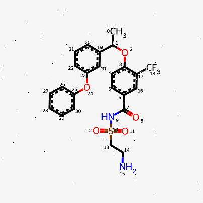 C[C@@H](Oc1ccc(C(=O)NS(=O)(=O)CCN)cc1C(F)(F)F)c1cccc(Oc2ccccc2)c1